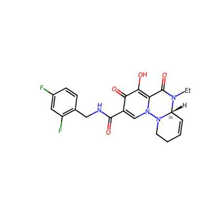 CCN1C(=O)c2c(O)c(=O)c(C(=O)NCc3ccc(F)cc3F)cn2N2CCC=C[C@@H]12